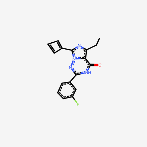 CCc1nc(C2=CC=C2)n2nc(-c3cccc(F)c3)[nH]c(=O)c12